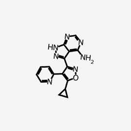 Nc1ncnc2[nH]nc(-c3noc(C4CC4)c3-c3ccccn3)c12